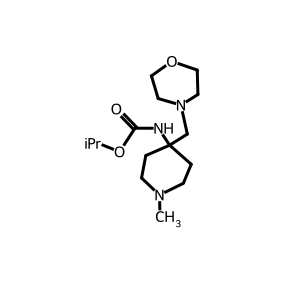 CC(C)OC(=O)NC1(CN2CCOCC2)CCN(C)CC1